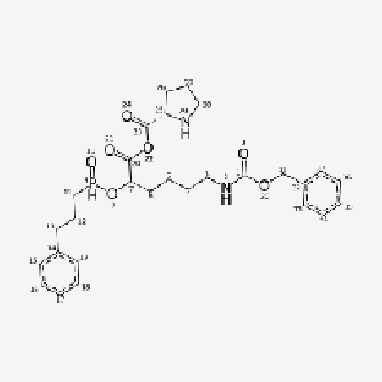 O=C(NCCCCC(O[PH](=O)CCCc1ccccc1)C(=O)OC(=O)[C@@H]1CCCN1)OCc1ccccc1